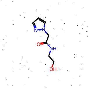 O=C(Cn1cccn1)NCCO